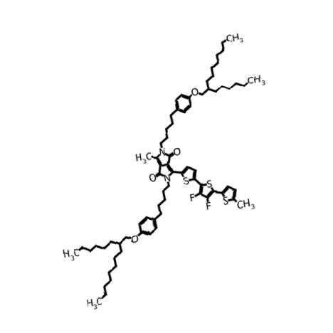 CCCCCCCCC(CCCCCC)COc1ccc(CCCCCN2C(=O)C3=C(c4ccc(-c5sc(-c6ccc(C)s6)c(F)c5F)s4)N(CCCCCc4ccc(OCC(CCCCCC)CCCCCCCC)cc4)C(=O)C3=C2C)cc1